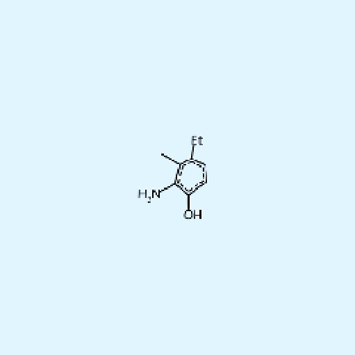 CCc1ccc(O)c(N)c1C